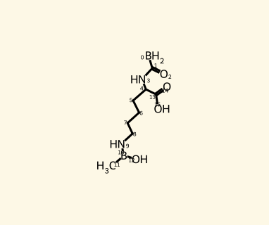 BC(=O)NC(CCCCNB(C)O)C(=O)O